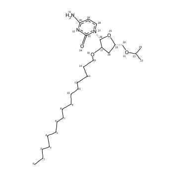 CCCCCCCCCCCCCCCCOC1C[C@@H](COC(C)C)O[C@H]1n1ccc(N)nc1=O